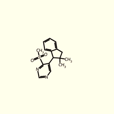 CC1(C)Cc2ccccc2C1c1cncnc1S(C)(=O)=O